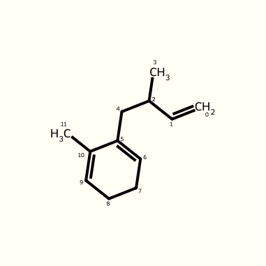 C=CC(C)CC1=CCCC=C1C